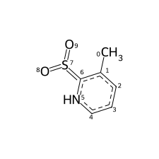 Cc1ccc[nH]c1=S(=O)=O